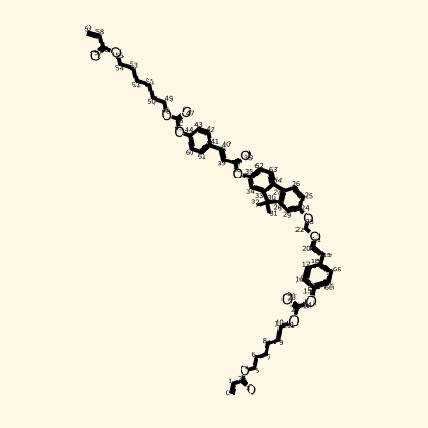 C=CC(=O)OCCCCCCOC(=O)Oc1ccc(C=COCOc2ccc3c(c2)C(C)(C)c2cc(OC(=O)C=Cc4ccc(OC(=O)OCCCCCCOC(=O)C=C)cc4)ccc2-3)cc1